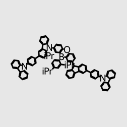 CC(C)c1cc(C(C)C)c(B2c3cc(C4c5ccccc5-c5cc(-c6ccc(-n7c8ccccc8c8ccccc87)cc6)ccc54)ccc3Oc3ccc(-n4c5ccccc5c5cc(-c6ccc(-n7c8ccccc8c8ccccc87)cc6)ccc54)cc32)c(C(C)C)c1